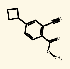 COC(=O)c1ccc(C2CCC2)cc1C#N